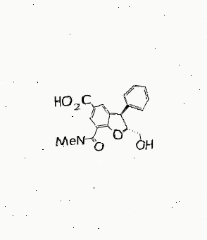 CNC(=O)c1cc(C(=O)O)cc2c1O[C@@H](CO)[C@@H]2c1ccccc1